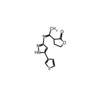 CC(=Nc1cc(-c2ccsc2)[nH]n1)C1CCOC1=O